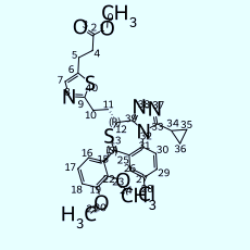 COC(=O)CCc1cnc(CC[C@H]2S[C@H](c3cccc(OC)c3OC)c3cc(Cl)ccc3-n3c(C4CC4)nnc32)s1